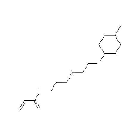 C=CC(=O)OCCCCCCOC1CCC(C)CC1